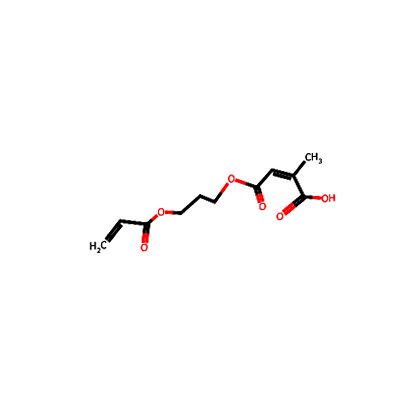 C=CC(=O)OCCCOC(=O)/C=C(/C)C(=O)O